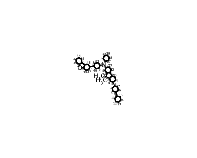 CC1(C)c2cc(-c3ccc(-c4ccccc4)cc3)ccc2-c2ccc(N(c3ccccc3)c3ccc(-c4ccc5oc6ccccc6c5c4)cc3)cc21